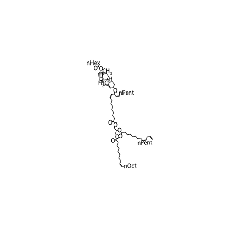 CCCCC/C=C\C/C=C\CCCCCCCC(=O)OC(COC(=O)CCCCCCC/C=C\CCCCCCCC)COC(=O)CCCCCCC/C=C\C(/C=C\CCCCC)OC1C=C2CC[C@H]3[C@@H]4CC[C@H](OC(=O)CCCCCC)[C@@]4(C)CC[C@@H]3[C@@]2(C)CC1